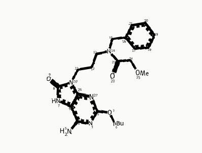 CCCCOc1nc(N)c2[nH]c(=O)n(CCCN(Cc3ccccc3)C(=O)COC)c2n1